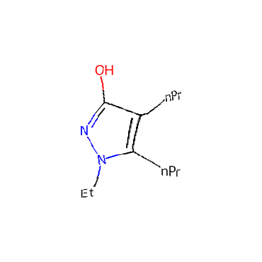 CCCc1c(O)nn(CC)c1CCC